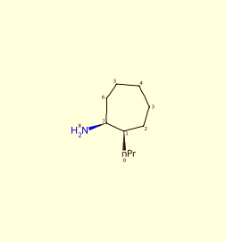 CCC[C@@H]1CCCCC[C@@H]1N